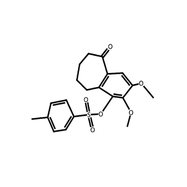 COc1cc2c(c(OS(=O)(=O)c3ccc(C)cc3)c1OC)CCCCC2=O